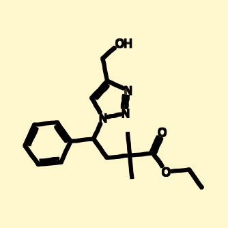 CCOC(=O)C(C)(C)CC(c1ccccc1)n1cc(CO)nn1